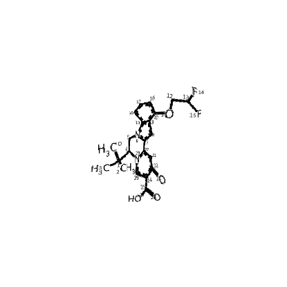 CC(C)(C)C1Cn2c(cc3c(OCC(F)F)cccc32)-c2cc(=O)c(C(=O)O)cn21